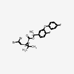 CC1(C)[C@H](C(=O)O[C@H](C#N)c2ccc(F)c(Oc3ccc(F)cc3)c2)[C@@H]1C=C(Br)Br